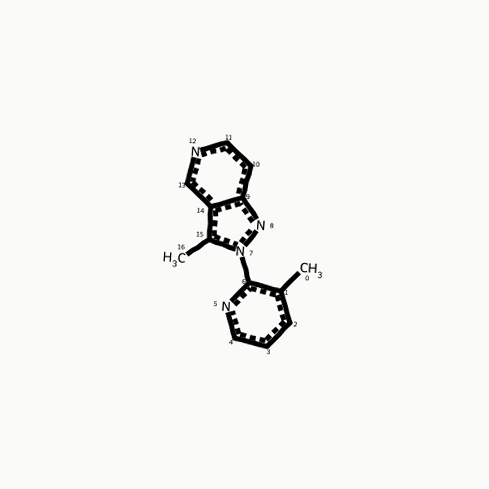 Cc1cccnc1-n1nc2ccncc2c1C